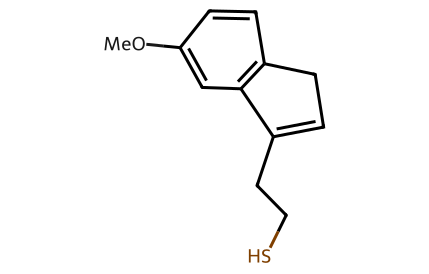 COc1ccc2c(c1)C(CCS)=CC2